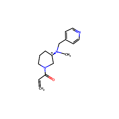 C=CC(=O)N1CCC[C@@H](N(C)Cc2ccncc2)C1